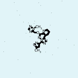 Cc1cc(-c2nnc3c4cccnc4c(OCc4ncnn4C)nn23)no1